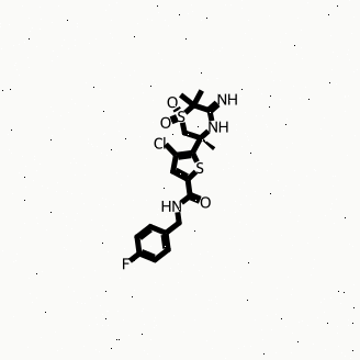 CC1(C)C(=N)N[C@](C)(c2sc(C(=O)NCc3ccc(F)cc3)cc2Cl)CS1(=O)=O